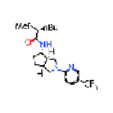 CCCC[C@H](NC)C(=O)N[C@H]1CC[C@@H]2CN(c3ccc(C(F)(F)F)cn3)C[C@@H]21